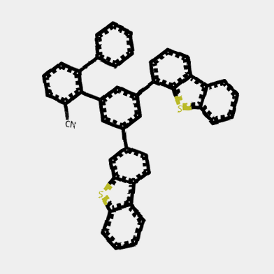 N#Cc1cccc(-c2ccccc2)c1-c1cc(-c2ccc3c(c2)sc2ccccc23)cc(-c2cccc3c2sc2ccccc23)c1